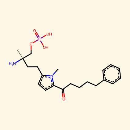 Cn1c(CC[C@@](C)(N)COP(=O)(O)O)ccc1C(=O)CCCCc1ccccc1